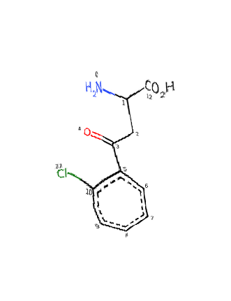 NC(CC(=O)c1ccccc1Cl)C(=O)O